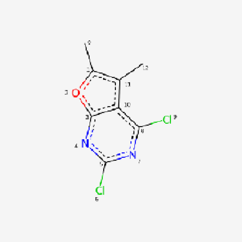 Cc1oc2nc(Cl)nc(Cl)c2c1C